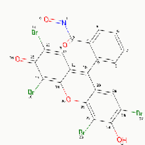 O=NC(=O)c1ccccc1-c1c2cc(Br)c(=O)c(Br)c-2oc2c(Br)c(O)c(Br)cc12